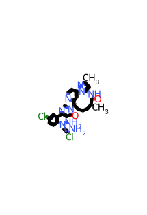 Cc1cc2n(n1)-c1ccnc(c1)[C@@H](n1cnc(-c3cc(Cl)ccc3N(N)/C=C(\N)Cl)cc1=O)CCC[C@@H](C)C(=O)N2